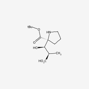 C[C@@H](C(=O)O)[C@@H](O)[C@]1(C(=O)OC(C)(C)C)CCCN1